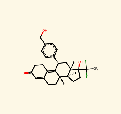 C[C@]12C[C@H](c3ccc(CO)cc3)C3=C4CCC(=O)C=C4CC[C@H]3[C@@H]1CC[C@@]2(O)C(F)(F)C(F)(F)F